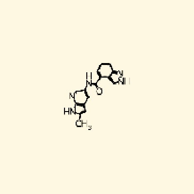 Cc1cc2cc(NC(=O)c3cccc4n[nH]cc34)cnc2[nH]1